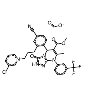 COC(=O)C1=C(C)N(c2cccc(C(F)(F)F)c2)c2n[nH]c(=O)n2C1c1ccc(C#N)cc1CCC[n+]1cccc(Cl)c1.O=C[O-]